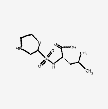 CC(C)C[C@H](NS(=O)(=O)C1CNCCO1)C(=O)O